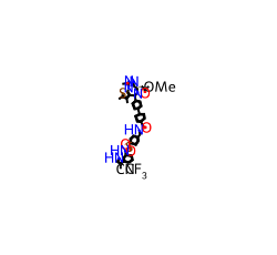 COC(=O)C[C@@H]1N=C(c2ccc(-c3ccc(C(=O)NCc4ccc(S(=O)(=O)Nc5ccc(C(F)(F)F)c6c(C#N)c[nH]c56)cc4)cc3)cc2)c2c(sc(C)c2C)-n2c(C)nnc21